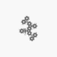 Cn1c(-n2c3ccc(-n4c5ccccc5c5ccccc54)cc3c3cc4c(cc32)c2cc(-n3c5ccccc5c5ccccc53)ccc2n4-c2ccccc2)nc2ccccc21